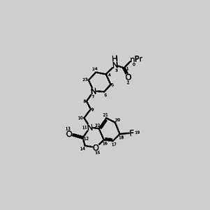 CCCC(=O)NC1CCN(CCCN2C(=O)COC3=CC(F)CC=C32)CC1